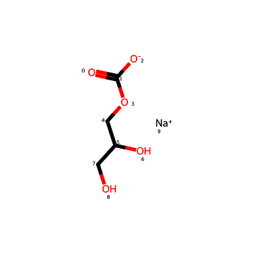 O=C([O-])OCC(O)CO.[Na+]